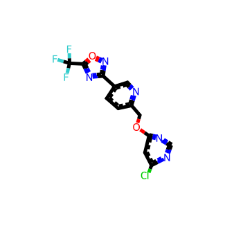 FC(F)(F)c1nc(-c2ccc(COc3cc(Cl)ncn3)nc2)no1